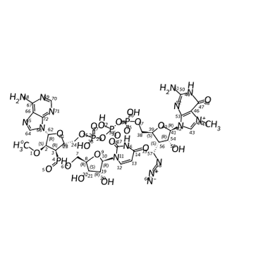 CO[C@@H]1[C@H]([PH](=O)OC[C@H]2O[C@@H](n3ccc(=O)[nH]c3=O)[C@H](O)[C@@H]2O)[C@@H](COP(=O)(O)OP(=O)(O)OP(=O)(O)OC[C@H]2O[C@@H](n3c[n+](C)c4c(=O)[nH]c(N)nc43)[C@H](O)[C@@H]2CN=[N+]=[N-])O[C@H]1n1cnc2c(N)ncnc21